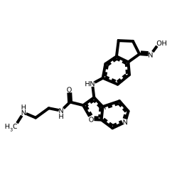 CNCCNC(=O)c1oc2cnccc2c1Nc1ccc2c(c1)CCC2=NO